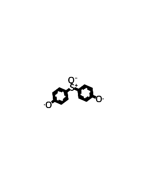 [O]c1ccc([S+]([O-])c2ccc([O])cc2)cc1